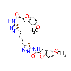 COc1ccc2c(c1)CC(C(=O)Nc1nnc(CCCCc3nnc(NC4OC4C4Cc5cc(OC)ccc5O4)s3)s1)O2